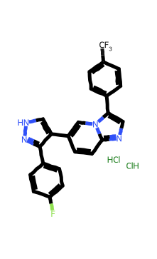 Cl.Cl.Fc1ccc(-c2n[nH]cc2-c2ccc3ncc(-c4ccc(C(F)(F)F)cc4)n3c2)cc1